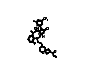 C=CC(=O)N1CC2(CN(CCN3C[C@H]4CC(=O)N(c5cc(C(F)(F)F)cc(C)n5)[C@@H]4C(=O)N(C)c4cccc(F)c43)CCO2)C1